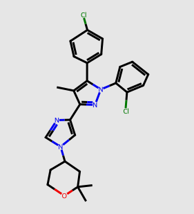 Cc1c(-c2cn(C3CCOC(C)(C)C3)cn2)nn(-c2ccccc2Cl)c1-c1ccc(Cl)cc1